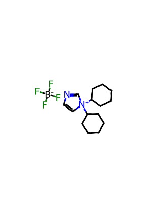 C1=C[N+](C2CCCCC2)(C2CCCCC2)C=N1.F[B-](F)(F)F